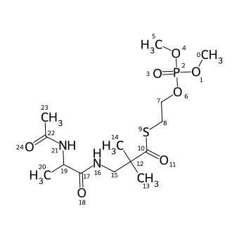 COP(=O)(OC)OCCSC(=O)C(C)(C)CNC(=O)C(C)NC(C)=O